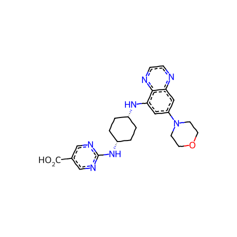 O=C(O)c1cnc(N[C@H]2CC[C@@H](Nc3cc(N4CCOCC4)cc4nccnc34)CC2)nc1